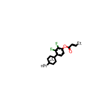 CCC=CC(=O)Oc1ccc(C23CCC(CCC)(CC2)CC3)c(F)c1F